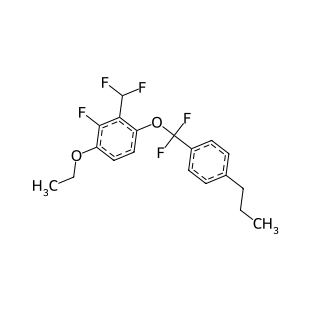 CCCc1ccc(C(F)(F)Oc2ccc(OCC)c(F)c2C(F)F)cc1